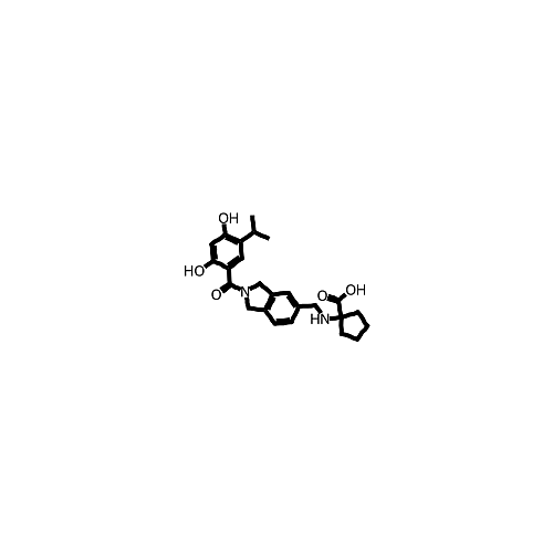 CC(C)c1cc(C(=O)N2Cc3ccc(CNC4(C(=O)O)CCCC4)cc3C2)c(O)cc1O